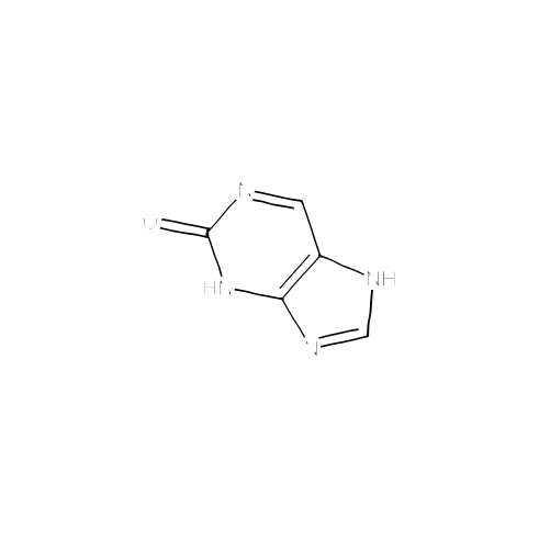 O=c1n[c]c2[nH]cnc2[nH]1